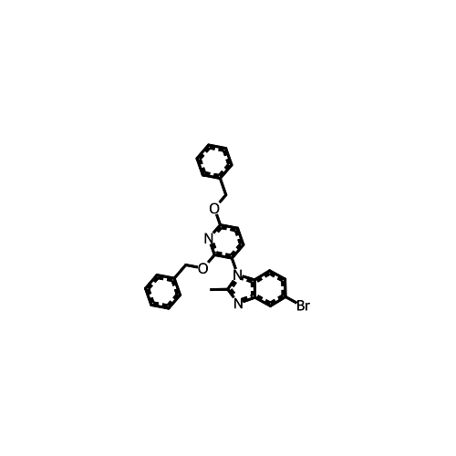 Cc1nc2cc(Br)ccc2n1-c1ccc(OCc2ccccc2)nc1OCc1ccccc1